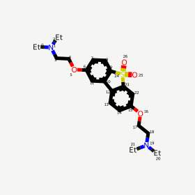 CCN(CC)CCOc1ccc2c(c1)-c1ccc(OCCN(CC)CC)cc1S2(=O)=O